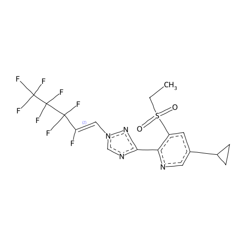 CCS(=O)(=O)c1cc(C2CC2)cnc1-c1ncn(/C=C(\F)C(F)(F)C(F)(F)C(F)(F)F)n1